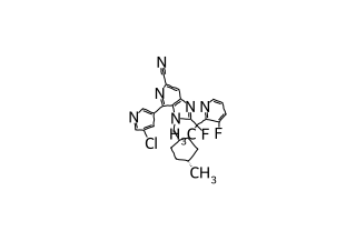 CC(F)(c1ncccc1F)c1nc2cc(C#N)nc(-c3cncc(Cl)c3)c2n1C[C@H]1CC[C@H](C)CC1